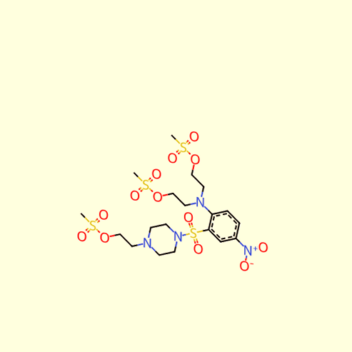 CS(=O)(=O)OCCN1CCN(S(=O)(=O)c2cc([N+](=O)[O-])ccc2N(CCOS(C)(=O)=O)CCOS(C)(=O)=O)CC1